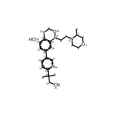 CC1COCCN1CCN1OCSc2ccc(-c3ccc(C(C)(C)CC#N)nc3)cc21.Cl